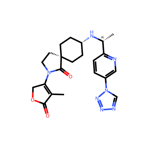 CC1=C(N2CC[C@]3(CC[C@@H](N[C@H](C)c4ccc(-n5cnnn5)cn4)CC3)C2=O)COC1=O